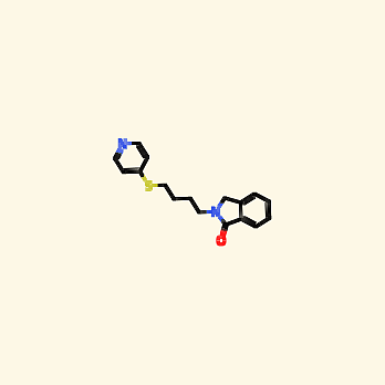 O=C1c2ccccc2CN1CCCCSc1ccncc1